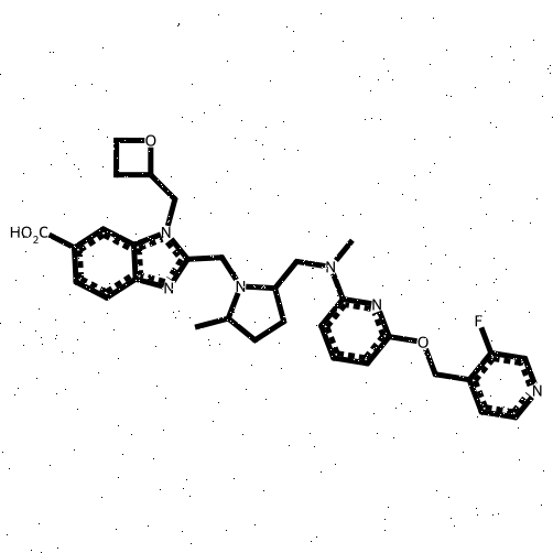 CC1CCC(CN(C)c2cccc(OCc3ccncc3F)n2)N1Cc1nc2ccc(C(=O)O)cc2n1CC1CCO1